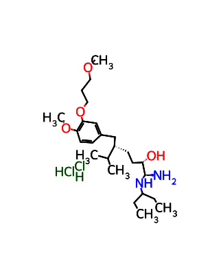 CCC(CC)N[C@H](N)[C@@H](O)CC[C@@H](Cc1ccc(OC)c(OCCCOC)c1)C(C)C.Cl.Cl